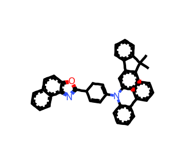 CC1(C)c2ccccc2-c2cc(N(C3=CCC(c4nc5c(ccc6ccccc65)o4)C=C3)c3ccccc3-c3ccccc3)ccc21